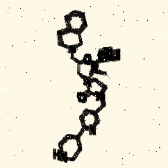 CC(C)(C)[Si](C)(C)OC(CN1CCc2ccccc2C1)CN1CCN(Cc2ccc(C3CCNCC3)nc2)C1=O